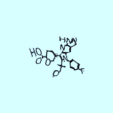 COCC(C)(C)c1c([C@@H]2CCC(C(=O)O)OC2)c2nc3[nH]ncc3cc2n1-c1ccc(F)cc1